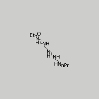 CCCNCCNCCNCCNCCNC(=O)CC